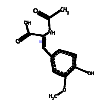 COc1cc(/C=C(\NC(C)=O)C(=O)O)ccc1O